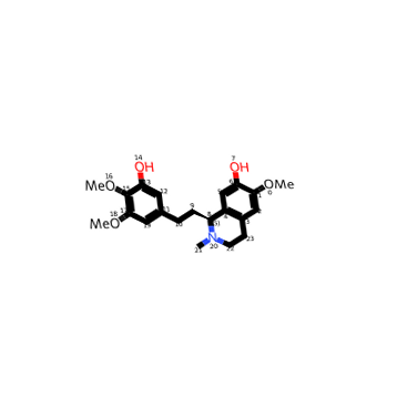 COc1cc2c(cc1O)[C@H](CCc1cc(O)c(OC)c(OC)c1)N(C)CC2